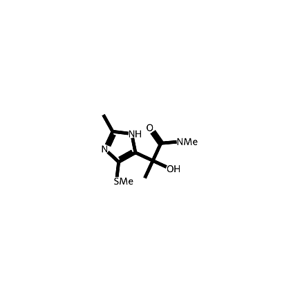 CNC(=O)C(C)(O)c1[nH]c(C)nc1SC